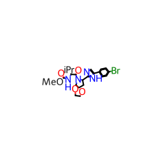 COC(=O)NC(C(=O)N1CC2(CC1c1ncc(-c3ccc(Br)cc3)[nH]1)OCCO2)C(C)C